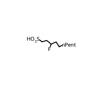 CCCCCCCC(F)CCS(=O)(=O)O